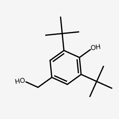 CC(C)(C)c1cc(CO)cc(C(C)(C)C)c1O